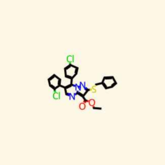 CCOC(=O)c1c(SCc2ccccc2)nn2c(-c3ccc(Cl)cc3)c(-c3ccccc3Cl)cnc12